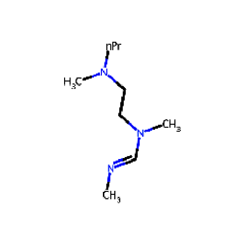 CCCN(C)CCN(C)/C=N/C